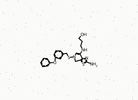 Nc1nc2c(s1)CN(SCc1cccc(Oc3ccccc3)c1)C=C2NCCCO